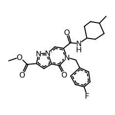 COC(=O)c1cc2c(=O)n(Cc3ccc(F)cc3)c(C(=O)NC3CCC(C)CC3)cn2n1